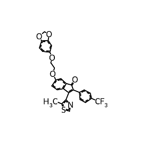 Cc1scnc1C1=C(c2ccc(C(F)(F)F)cc2)C(=O)c2cc(OCCOc3ccc4c(c3)OCO4)ccc21